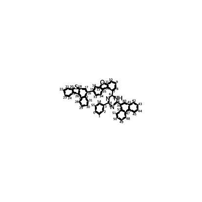 c1ccc(C2=NC(c3cccc4oc5cc(-c6cc7sc8ccccc8c7c7ccccc67)ccc5c34)NC(c3cc4ccccc4c4ccccc34)=N2)cc1